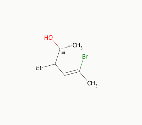 CCC(C=C(C)Br)[C@@H](C)O